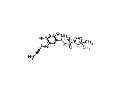 CC#CCNc1cc2c(cc1F)ONC2CS(=O)(=O)C1=NOC(C)(C)C1